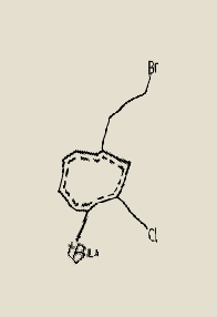 CC(C)(C)c1ccc(CCBr)cc1Cl